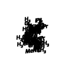 C/C=C/C[C@@H](C)[C@@H](O)C(C(=O)N[C@@H](CC)C(=O)N(C)CC(=O)N(C)[C@@H](CC(C)(C)O)C(=O)N[C@H](C(=O)N(C)[C@@H](CC(C)C)C(=O)N[C@H](C)C(=O)N[C@@H](C)C(=O)NC)C(C)C)N(C)C(=O)[C@H](C(C)C)N(C)C(=O)[C@H](CC(C)C)N(C)C(=O)CCC(C)C